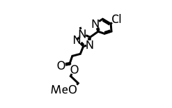 COCCOC(=O)CCc1nc(-c2ccc(Cl)cn2)n(C)n1